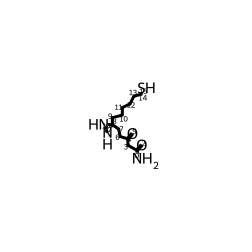 NC(=O)CC(=O)CCC1(CCCCCCS)NN1